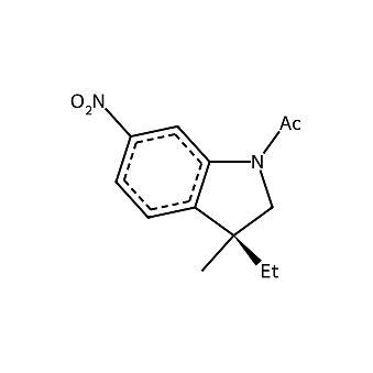 CC[C@]1(C)CN(C(C)=O)c2cc([N+](=O)[O-])ccc21